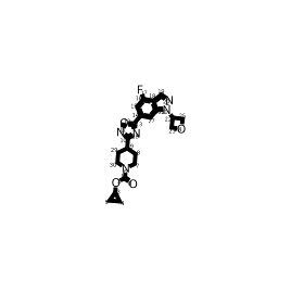 O=C(OC1CC1)N1CCC(c2noc(-c3cc(F)c4cnn(C5COC5)c4c3)n2)CC1